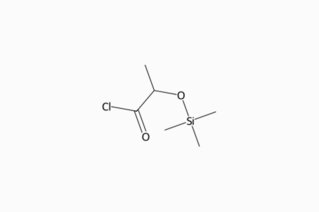 CC(O[Si](C)(C)C)C(=O)Cl